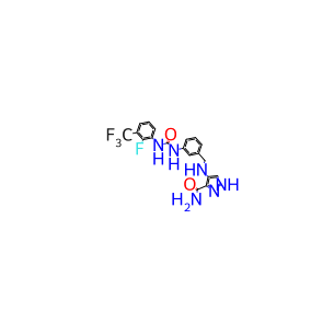 NC(=O)c1n[nH]cc1NCc1cccc(NC(=O)Nc2cccc(C(F)(F)F)c2F)c1